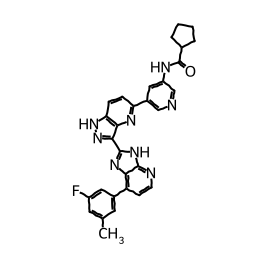 Cc1cc(F)cc(-c2ccnc3[nH]c(-c4n[nH]c5ccc(-c6cncc(NC(=O)C7CCCC7)c6)nc45)nc23)c1